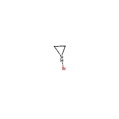 Br[SiH]1CC1